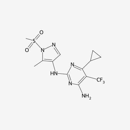 Cc1c(Nc2nc(N)c(C(F)(F)F)c(C3CC3)n2)cnn1S(C)(=O)=O